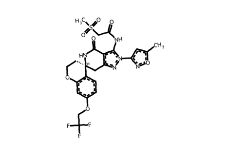 Cc1cc(-n2nc3c(c2NC(=O)CS(C)(=O)=O)C(=O)N[C@@]2(CCOc4cc(OCC(F)(F)F)ccc42)C3)no1